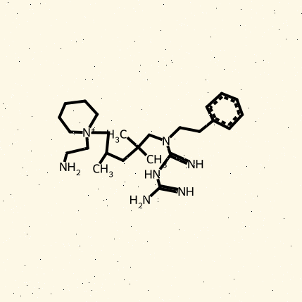 CC(CC(C)(C)CN(CCc1ccccc1)C(=N)NC(=N)N)C[N+]1(CCN)CCCCC1